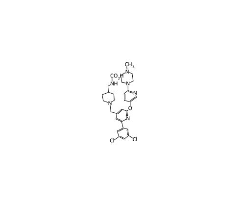 CN1CCN(c2ccc(Oc3cc(CN4CCC(CNC(=O)O)CC4)cc(-c4cc(Cl)cc(Cl)c4)n3)cn2)CC1